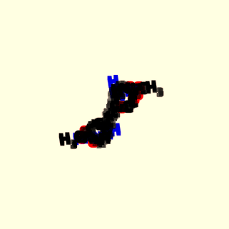 COC(=O)N[C@H]1COCCCCOc2cc(-c3ccc(-c4cc5c6[nH]c(nc6c4)[C@@H]4CCCN4C(=O)[C@@H](NC(=O)OC)CCCCC5)cc3)ccc2-c2c[nH]c(n2)[C@@H]2CCCN2C1=O